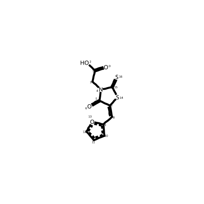 O=C(O)CN1C(=O)/C(=C\c2ccco2)SC1=S